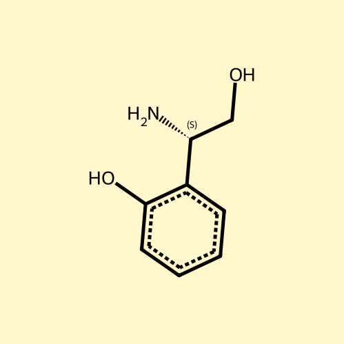 N[C@H](CO)c1ccccc1O